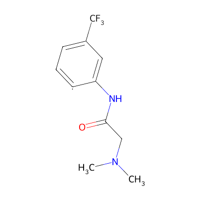 CN(C)CC(=O)Nc1[c]ccc(C(F)(F)F)c1